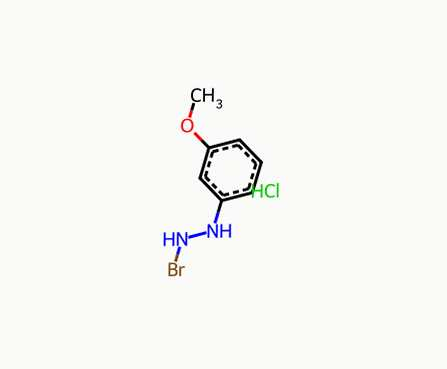 COc1cccc(NNBr)c1.Cl